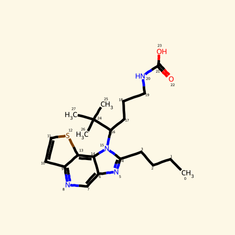 CCCCc1nc2cnc3ccsc3c2n1C(CCCNC(=O)O)C(C)(C)C